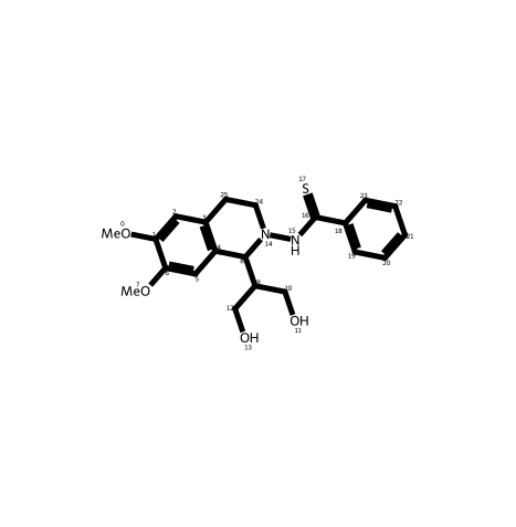 COc1cc2c(cc1OC)C(C(CO)CO)N(NC(=S)c1ccccc1)CC2